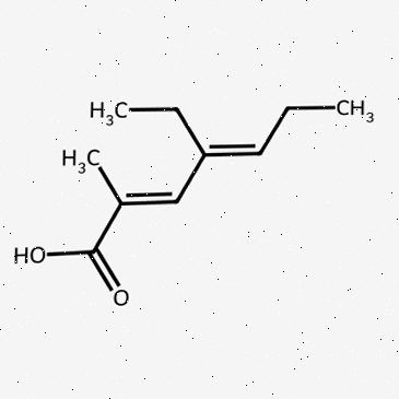 CC/C=C(/C=C(\C)C(=O)O)CC